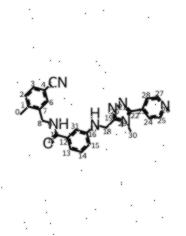 Cc1ccc(C#N)cc1CNC(=O)c1cccc(NCc2nnc(-c3ccncc3)n2C)c1